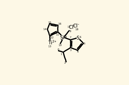 CC(C)c1ccsc1[Si](C)(C)C1=[C]([Ti+2])CC=C1.[Cl-].[Cl-]